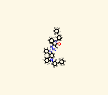 O=c1c2cnc(-n3c4ccccc4c4c5c6ccccc6n(-c6cccc(-c7ccccc7)c6)c5ccc43)nc2c2ccccc2n1-c1cccc(-c2ccccc2)c1